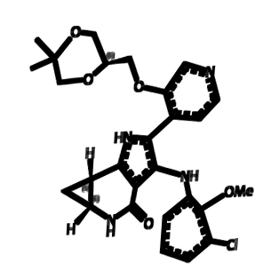 COc1c(Cl)cccc1Nc1c(-c2ccncc2OC[C@@H]2COC(C)(C)CO2)[nH]c2c1C(=O)N[C@@H]1C[C@H]21